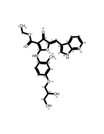 CCOC(=O)C1=C(Nc2ccc(OCC(O)CO)cc2C)O/C(=C\c2c[nH]c3ncccc23)C1=O